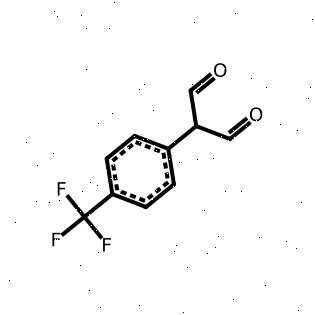 O=CC(C=O)c1ccc(C(F)(F)F)cc1